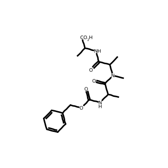 CC(NC(=O)C(C)N(C)C(=O)C(C)NC(=O)OCc1ccccc1)C(=O)O